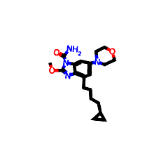 COc1nc2c(CCCCC3CC3)cc(N3CCOCC3)cc2n1C(N)=O